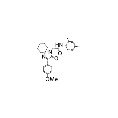 COc1ccc(C2=NC3(CCCCC3)N(CC(=O)Nc3ccc(C)cc3C)C2=O)cc1